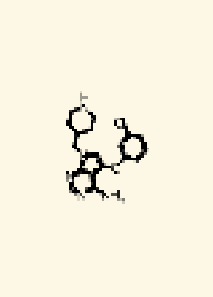 Nc1ncnc2c1c(Oc1cccc(Cl)c1)cn2CC1CCNCC1